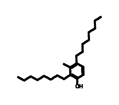 CCCCCCCCc1ccc(O)c(CCCCCCCC)c1C